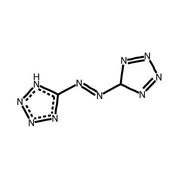 N1=NC(N=Nc2nnn[nH]2)N=N1